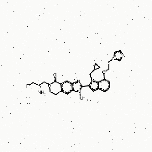 Cn1c(-c2cc3cccc(OCCn4ccnc4)c3n2CC2CC2)nc2cc3c(cc21)CCN(C[C@H](N)CF)C3=O